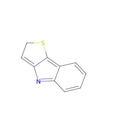 C1=C2N=c3ccccc3=C2SC1